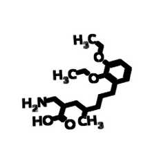 CCOc1cccc(CCCC(C)CC(CN)C(=O)O)c1OCC